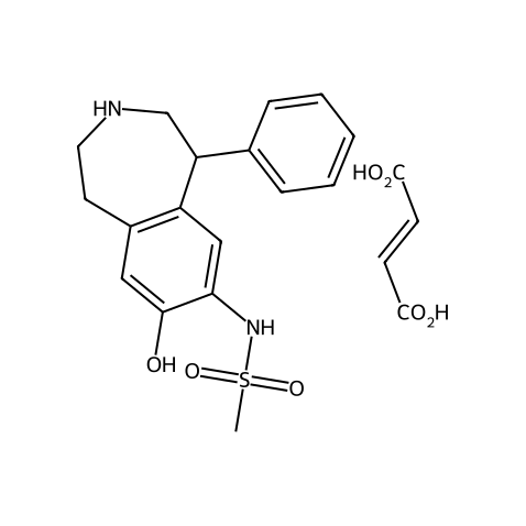 CS(=O)(=O)Nc1cc2c(cc1O)CCNCC2c1ccccc1.O=C(O)/C=C/C(=O)O